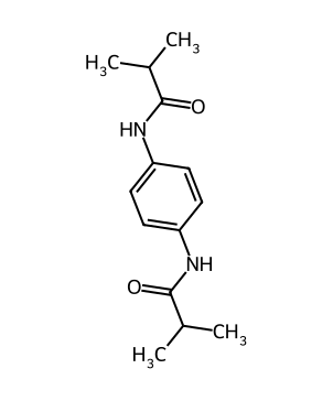 CC(C)C(=O)Nc1ccc(NC(=O)C(C)C)cc1